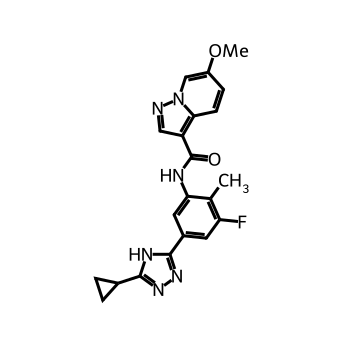 COc1ccc2c(C(=O)Nc3cc(-c4nnc(C5CC5)[nH]4)cc(F)c3C)cnn2c1